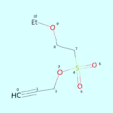 C#CCOS(=O)(=O)CCOCC